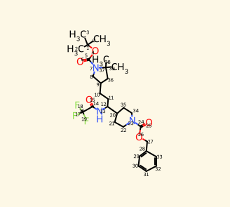 CC(C)(C)OC(=O)N1CC(CCC(NC(=O)C(F)(F)F)C2CCN(C(=O)OCc3ccccc3)CC2)CC1(C)C